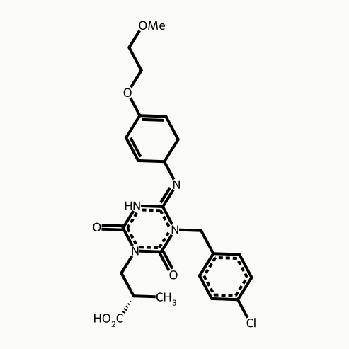 COCCOC1=CCC(/N=c2\[nH]c(=O)n(C[C@H](C)C(=O)O)c(=O)n2Cc2ccc(Cl)cc2)C=C1